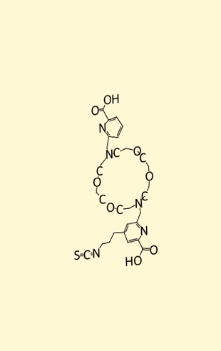 O=C(O)c1cccc(CN2CCOCCOCCN(Cc3cc(CCCN=C=S)cc(C(=O)O)n3)CCOCCOCC2)n1